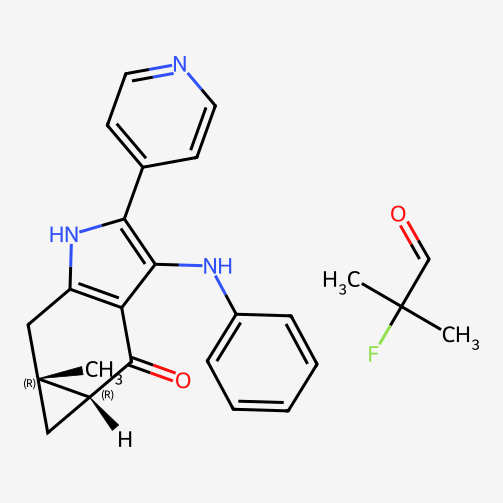 CC(C)(F)C=O.C[C@@]12Cc3[nH]c(-c4ccncc4)c(Nc4ccccc4)c3C(=O)[C@@H]1C2